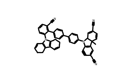 CC12C=CC(C#N)=CC1N(c1ccc(-c3ccc(-c4c(C#N)cccc4-n4c5c(c6c4CCC=C6)CCC=C5)cc3)cc1)c1c#cc(C#N)cc12